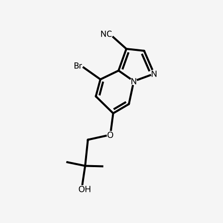 CC(C)(O)COc1cc(Br)c2c(C#N)cnn2c1